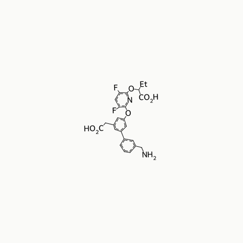 CCC(Oc1nc(Oc2cc(CC(=O)O)cc(-c3cccc(CN)c3)c2)c(F)cc1F)C(=O)O